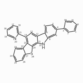 c1ccc(-c2ccc3c(c2)[nH]c2c3cc(-c3ccccn3)c3c4ccccc4sc23)cc1